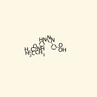 CC(C)(C)C(=O)Nc1ccc(Nc2cc(-c3cccc(C(=O)O)c3)ncn2)cc1